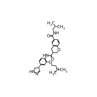 CC(C)CNC(=O)c1ccc2c(c1)CC(C(=O)Nc1ccc(C3C=NNC3)cc1OCCN(C)C)CO2